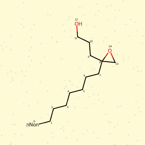 CCCCCCCCCCCCCCCCC1(CCCO)CO1